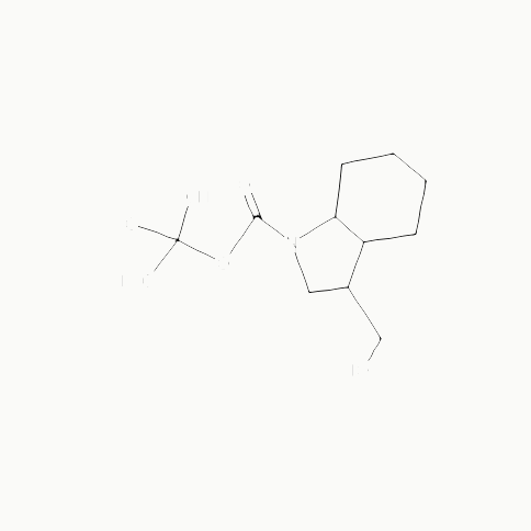 CC(C)(C)OC(=O)N1CC(CO)C2CCCCC21